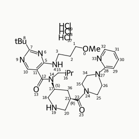 COCCCNc1nc(C(C)(C)C)ncc1C(=O)N(CC(C)C)[C@@H]1CNC[C@H](C(=O)N2CCN(c3ccccn3)CC2)C1.Cl.Cl.Cl